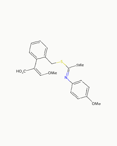 CO/C=C(/C(=O)O)c1ccccc1CSC(=Nc1ccc(OC)cc1)SC